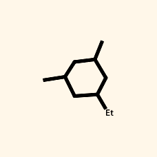 CCC1CC(C)CC(C)C1